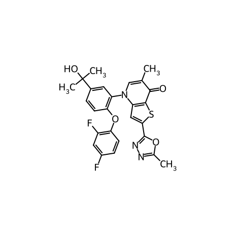 Cc1nnc(-c2cc3c(s2)c(=O)c(C)cn3-c2cc(C(C)(C)O)ccc2Oc2ccc(F)cc2F)o1